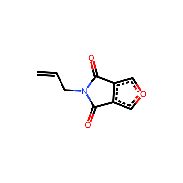 C=CCN1C(=O)c2cocc2C1=O